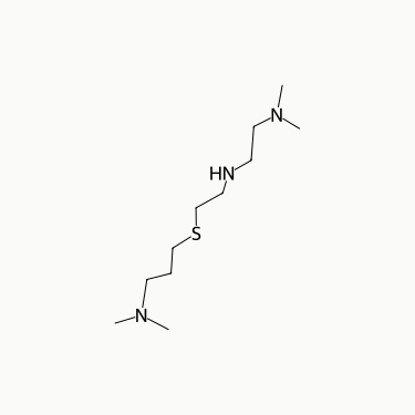 CN(C)CCCSCCNCCN(C)C